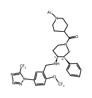 CC(=O)N1CCC(C(=O)N2CC[C@H](NCc3cc(-n4nnnc4C(F)(F)F)ccc3OC(F)(F)F)[C@H](c3ccccc3)C2)CC1